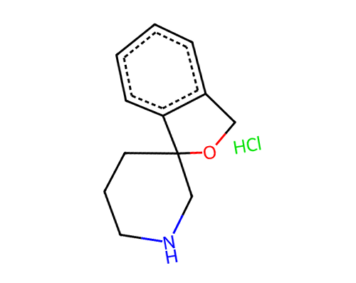 Cl.c1ccc2c(c1)COC21CCCNC1